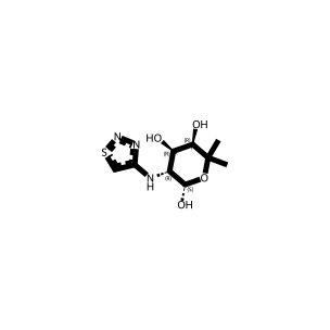 CC1(C)O[C@H](O)[C@H](Nc2csnn2)[C@@H](O)[C@H]1O